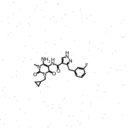 Cn1c(N)c(NC(=O)c2c[nH]nc2Cc2cccc(F)c2)c(=O)n(CC2CC2)c1=O